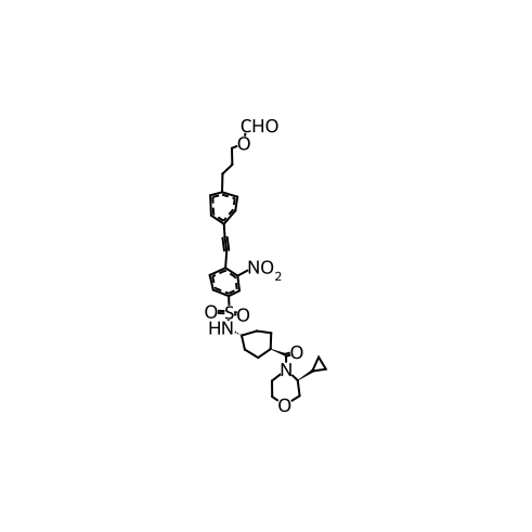 O=COCCCc1ccc(C#Cc2ccc(S(=O)(=O)N[C@H]3CC[C@H](C(=O)N4CCOC[C@@H]4C4CC4)CC3)cc2[N+](=O)[O-])cc1